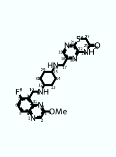 COc1cnc2ccc(F)c(CNC3CCC(NCc4cnc5c(n4)NC(=O)CS5)CC3)c2n1